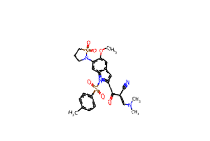 COc1cc2cc(C(=O)/C(C#N)=C/N(C)C)n(S(=O)(=O)c3ccc(C)cc3)c2cc1N1CCCS1(=O)=O